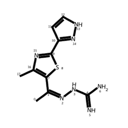 C/C(=N/NC(=N)N)c1sc(-c2cc[nH]n2)nc1C